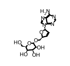 Nc1ncnc2c1ncn2[C@H]1C=C[C@@H](CO[C@@H]2O[C@H](CO)[C@H](O)[C@H](O)[C@H]2O)O1